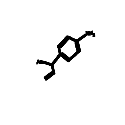 C=CC(C(C)=O)c1ccc(N)cc1